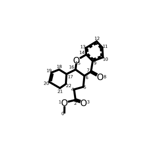 COC(=O)CCC1C(=O)c2ccccc2OC1C1CC=CCC1